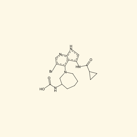 O=C(O)NC1CCCCN(c2c(Br)cnc3[nH]cc(NC(=O)C4CC4)c23)C1